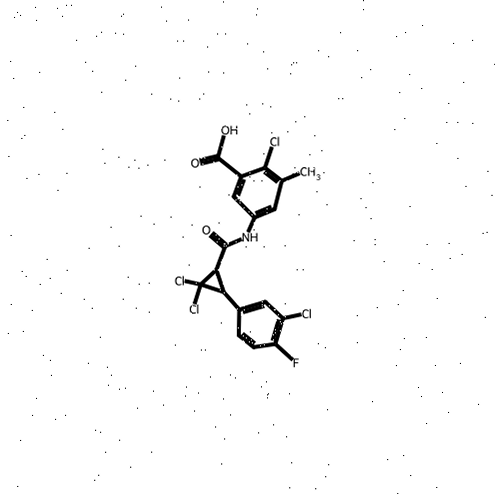 Cc1cc(NC(=O)C2C(c3ccc(F)c(Cl)c3)C2(Cl)Cl)cc(C(=O)O)c1Cl